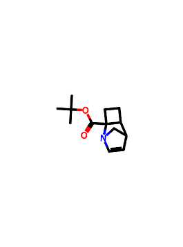 CC(C)(C)OC(=O)C12CCC1C1C=CN2C1